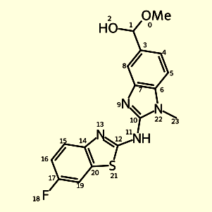 COC(O)c1ccc2c(c1)nc(Nc1nc3ccc(F)cc3s1)n2C